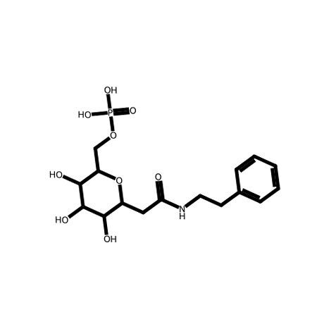 O=C(CC1OC(COP(=O)(O)O)C(O)C(O)C1O)NCCc1ccccc1